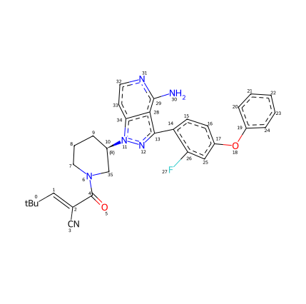 CC(C)(C)C=C(C#N)C(=O)N1CCC[C@@H](n2nc(-c3ccc(Oc4ccccc4)cc3F)c3c(N)nccc32)C1